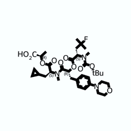 C[C@@H](OC(=O)[C@H](CC1CC1)N(C)C(=O)[C@@H](Cc1ccc(N2CCOCC2)cc1)OC(=O)[C@H](CC(C)(C)F)N(C)C(=O)OC(C)(C)C)C(=O)O